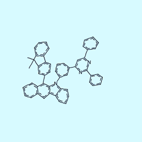 CC1(C)c2ccccc2-c2ccc(-c3c4ccccc4cc4c5ccccc5n(-c5cccc(-c6cc(-c7ccccc7)nc(-c7ccccc7)n6)c5)c34)cc21